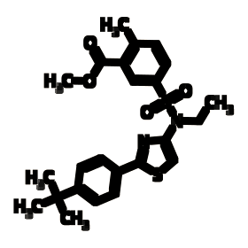 CCN(c1csc(-c2ccc(C(C)(C)C)cc2)n1)S(=O)(=O)c1ccc(C)c(C(=O)OC)c1